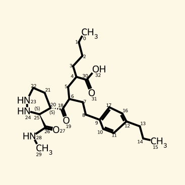 CCCCC(CC(CCc1ccc(CCC)cc1)C(=O)[C@H]1CCNN[C@@H]1C(=O)NC)C(=O)O